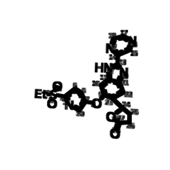 CCS(=O)(=O)c1ccc(Oc2cc3[nH]c(-c4cnccn4)nc3cc2C2CCC(=O)O2)cn1